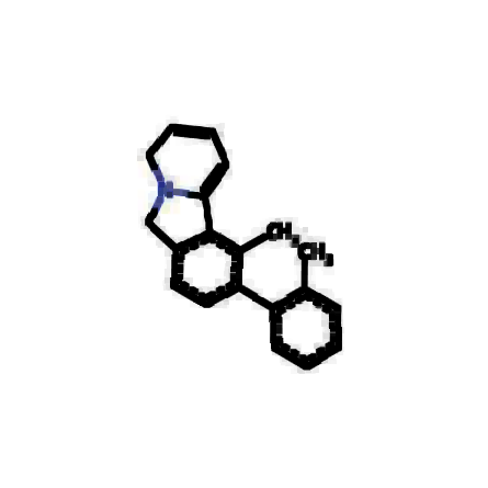 Cc1ccccc1-c1ccc2c(c1C)C1=CC=CCN1C2